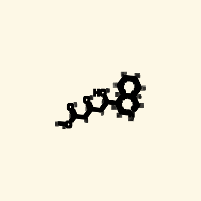 COC(=O)CC(=O)CC(O)c1cncc2ccccc12